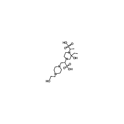 CCC1(O)CN(C(CN2CCN(CCO)CC2)S(=O)(=O)O)CCN1C(C)S(=O)(=O)O